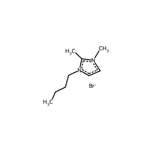 CCCC[n+]1ccn(C)c1C.[Br-]